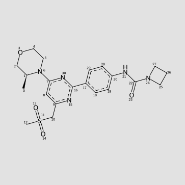 C[C@H]1COCCN1c1cc(CS(C)(=O)=O)nc(-c2ccc(NC(=O)N3CCC3)cc2)n1